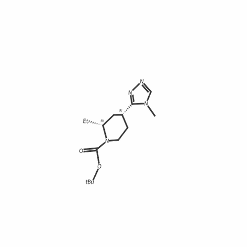 CC[C@@H]1C[C@H](c2nncn2C)CCN1C(=O)OC(C)(C)C